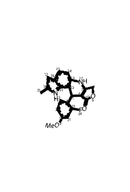 COc1ccc(C2C3=C(COC3=O)Nc3ccc4cc(C)[nH]c4c32)c(F)c1